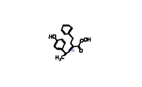 C=C(/C=C(\CCc1ccccc1)C(=O)OO)c1ccc(O)cc1